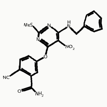 CSc1nc(NCc2ccccc2)c([N+](=O)[O-])c(Oc2ccc(C#N)c(C(N)=O)c2)n1